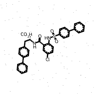 O=C(N[C@H](Cc1ccc(-c2ccccc2)cc1)C(=O)O)c1cc(Cl)ccc1NS(=O)(=O)c1ccc(-c2ccccc2)cc1